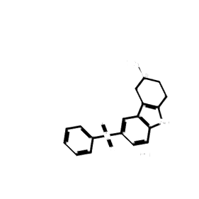 Cl.N[C@H]1CCc2[nH]c3ccc(S(=O)(=O)c4ccccc4)cc3c2C1